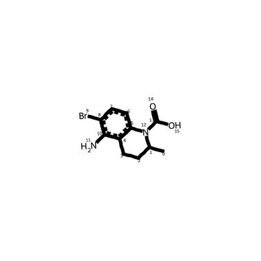 CC1CCc2c(ccc(Br)c2N)N1C(=O)O